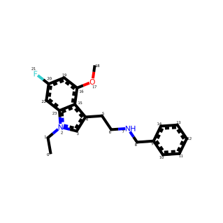 CCn1cc(CCNCc2ccccc2)c2c(OC)cc(F)cc21